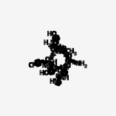 C[C@@H](O)[C@@H]1NC(=O)[C@H](CCCCN)NC(=O)[C@@H](Cc2ccc(NC(=O)[C@@H]3CCCN3)cc2)NC(=O)[C@H](Cc2ccc(O)cc2)NC(=O)[C@H](NC(=O)[C@@H](N)Cc2ccc(Cl)cc2)CSSC[C@@H](C(=O)N[C@H](Cc2ccc(O)cc2)C(N)=O)NC1=O